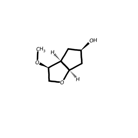 CO[C@@H]1CO[C@@H]2C[C@H](O)C[C@H]12